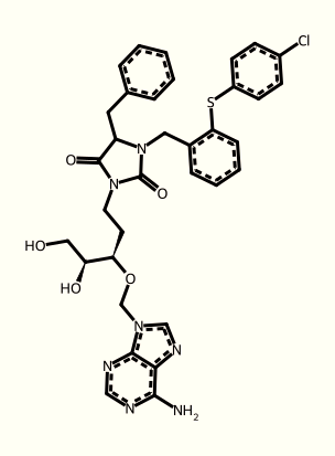 Nc1ncnc2c1ncn2CO[C@H](CCN1C(=O)C(Cc2ccccc2)N(Cc2ccccc2Sc2ccc(Cl)cc2)C1=O)[C@@H](O)CO